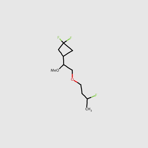 CO[C](COCCC(C)F)C1CC(F)(F)C1